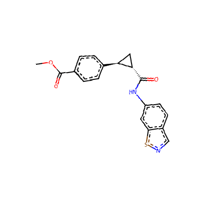 COC(=O)c1ccc([C@H]2C[C@@H]2C(=O)Nc2ccc3cnsc3c2)cc1